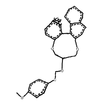 COc1ccc(OCOC2COc3ccc4ccccc4c3-c3c(ccc4ccccc34)OC2)cc1